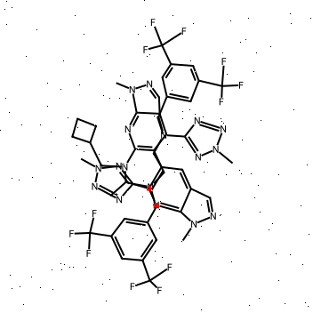 CC(c1nc2c(cnn2C)cc1CN(Cc1cc(C(F)(F)F)cc(C(F)(F)F)c1)c1nnn(C)n1)N(CC1CCC1)c1nc2c(cnn2C)cc1CN(Cc1cc(C(F)(F)F)cc(C(F)(F)F)c1)c1nnn(C)n1